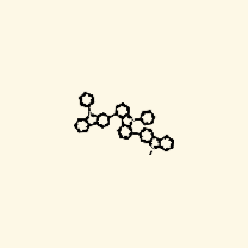 Cn1c2ccccc2c2ccc(-c3cccc4c5c(-c6ccc7c8ccccc8n(-c8ccccc8)c7c6)cccc5n(-c5ccccc5)c34)cc21